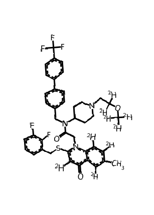 [2H]c1c(C)c([2H])c2c(=O)c([2H])c(SCc3cccc(F)c3F)n(CC(=O)N(Cc3ccc(-c4ccc(C(F)(F)F)cc4)cc3)C3CCN(CC([2H])([2H])OC([2H])([2H])[2H])CC3)c2c1[2H]